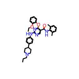 CCCN1CCC(c2ccc(Nc3ncc(C(=O)Nc4c(C)cccc4C)c(Oc4ccccc4OCC)n3)cc2)CC1